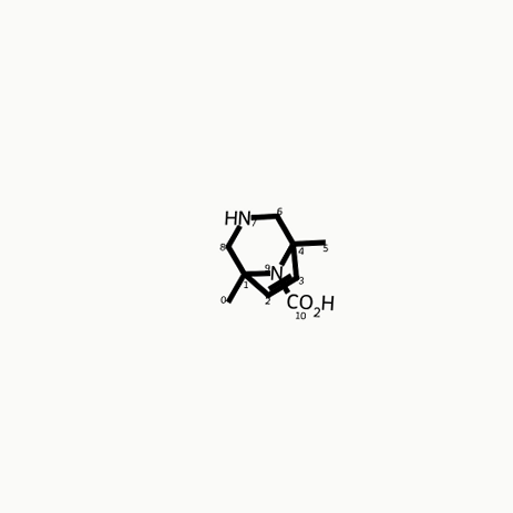 CC12C=CC(C)(CNC1)N2C(=O)O